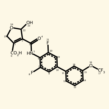 O=C(O)C1=C(C(=O)Nc2c(F)cc(-c3cccc(OC(F)(F)F)c3)cc2F)C(O)OC1